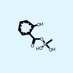 C[Si](O)(O)OC(=O)c1ccccc1O